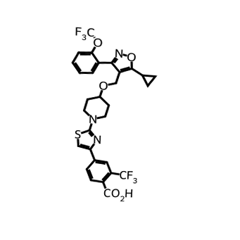 O=C(O)c1ccc(-c2csc(N3CCC(OCc4c(-c5ccccc5OC(F)(F)F)noc4C4CC4)CC3)n2)cc1C(F)(F)F